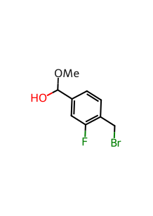 COC(O)c1ccc(CBr)c(F)c1